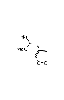 CCCC(CC(C)=C(C)C=O)OC